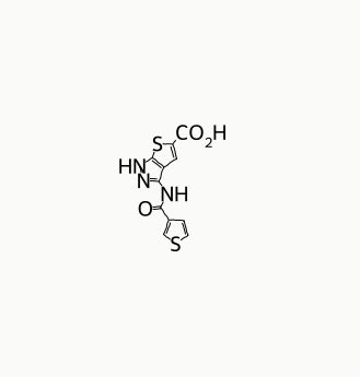 O=C(Nc1n[nH]c2sc(C(=O)O)cc12)c1ccsc1